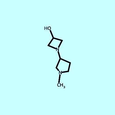 CN1CCC(N2CC(O)C2)C1